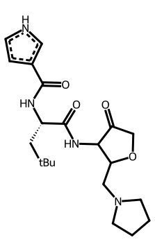 CC(C)(C)C[C@H](NC(=O)c1cc[nH]c1)C(=O)NC1C(=O)COC1CN1CCCC1